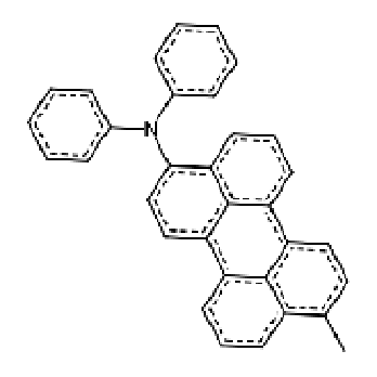 Cc1ccc2c3cccc4c(N(c5ccccc5)c5ccccc5)ccc(c5cccc1c25)c43